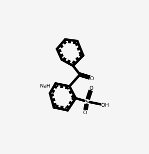 O=C(c1ccccc1)c1ccccc1S(=O)(=O)O.[NaH]